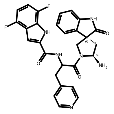 N[C@@H]1C[C@@]2(CN1C(=O)C(Cc1ccncc1)NC(=O)c1cc3c(F)ccc(F)c3[nH]1)C(=O)Nc1ccccc12